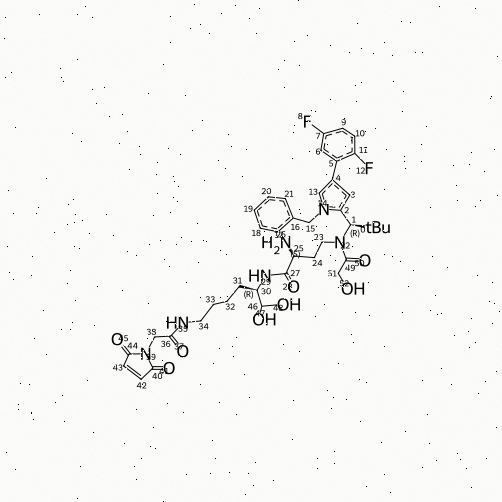 CC(C)(C)[C@H](c1cc(-c2cc(F)ccc2F)cn1Cc1ccccc1)N(CC[C@H](N)C(=O)N[C@H](CCCCNC(=O)CN1C(=O)C=CC1=O)C(O)O)C(=O)CO